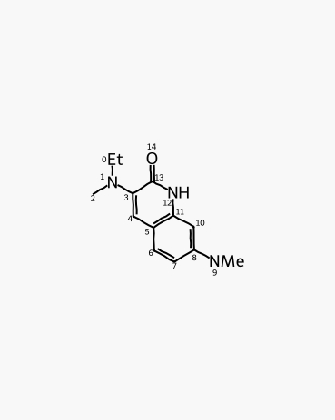 CCN(C)c1cc2ccc(NC)cc2[nH]c1=O